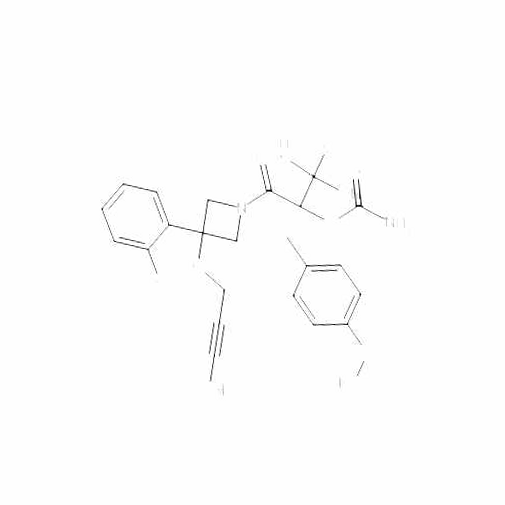 CC#CCOC1(c2ccccc2C)CN(C(=O)[C@](Cc2ccc(OC)cc2)(OC(N)=O)C(C)(C)C)C1